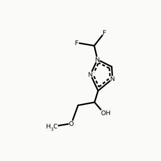 COCC(O)c1ncn(C(F)F)n1